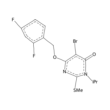 CSc1nc(OCc2ccc(F)cc2F)c(Br)c(=O)n1C(C)C